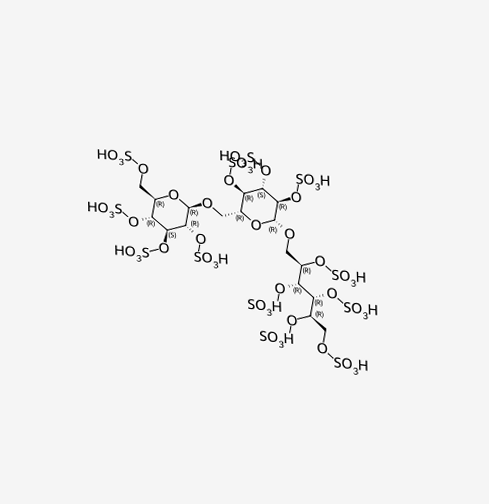 O=S(=O)(O)OC[C@H]1O[C@@H](OC[C@H]2O[C@@H](OC[C@@H](OS(=O)(=O)O)[C@@H](OS(=O)(=O)O)[C@H](OS(=O)(=O)O)[C@@H](COS(=O)(=O)O)OS(=O)(=O)O)[C@H](OS(=O)(=O)O)[C@@H](OS(=O)(=O)O)[C@@H]2OS(=O)(=O)O)[C@H](OS(=O)(=O)O)[C@@H](OS(=O)(=O)O)[C@@H]1OS(=O)(=O)O